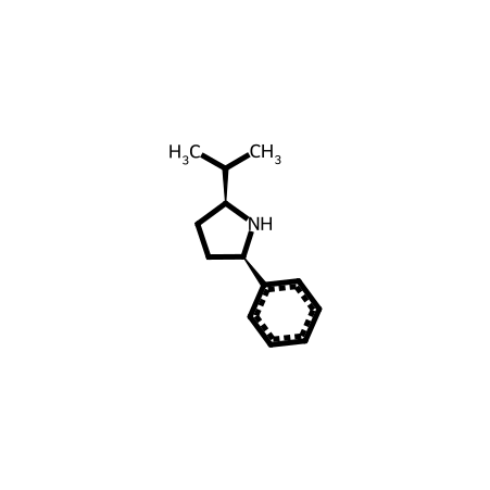 CC(C)[C@@H]1CC[C@H](c2ccccc2)N1